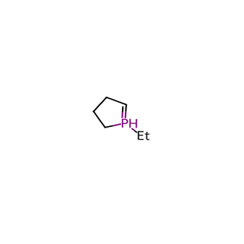 CC[PH]1=CCCC1